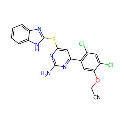 N#CCOc1cc(-c2cc(Sc3nc4ccccc4[nH]3)nc(N)n2)c(Cl)cc1Cl